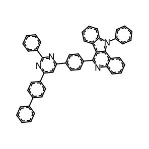 c1ccc(-c2ccc(-c3cc(-c4ccc(-c5nc6ccccc6c6c5c5ccccc5n6-c5ccccc5)cc4)nc(-c4ccccc4)n3)cc2)cc1